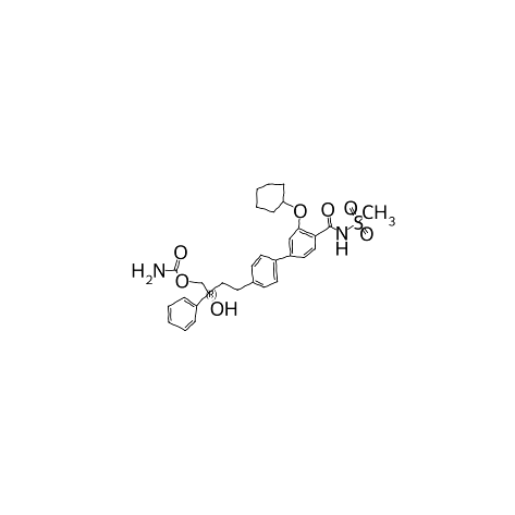 CS(=O)(=O)NC(=O)c1ccc(-c2ccc(CC[C@](O)(COC(N)=O)c3ccccc3)cc2)cc1OC1CCCCC1